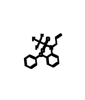 C=CCN(c1ccccc1Oc1ccccc1)S(=O)(=O)C(F)(F)F